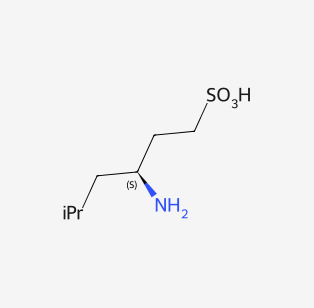 CC(C)C[C@H](N)CCS(=O)(=O)O